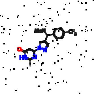 CNC(c1ccc(C(F)(F)F)cc1)c1cnn(-c2cc(=O)[nH]c(C)n2)c1